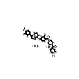 COc1ccc(-c2cnc3c(Nc4ccc(C(=O)N5CCN(C(=O)C6(O)CCNCC6)CC5)c(C)c4)nccn23)c(F)c1F.Cl